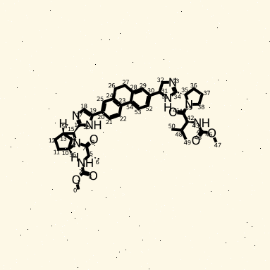 COC(=O)N[C@@H](C)C(=O)N1[C@@H]2CC[C@@H](C2)[C@H]1c1ncc(-c2ccc3c(c2)CCc2cc(C4CN=C([C@@H]5CCCN5C(=O)[C@@H](NC(=O)OC)C(C)C)N4)ccc2-3)[nH]1